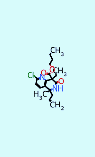 C=CCC1(C)NC(=O)C(CC)(C(=O)OCCCC)c2nc(Cl)ccc21